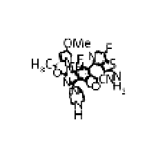 CO[C@@H]1C[C@@H](C(C)Oc2nc(N3C4CCC3CNC4)c3c4c(c(-c5ncc(F)c6sc(N)c(C#N)c56)c(F)c3n2)COC4)N(C)C1